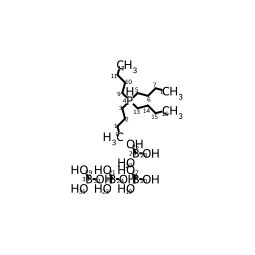 CCCC[PH](CCCC)(CCCC)CCCC.OB(O)O.OB(O)O.OB(O)O.OB(O)O